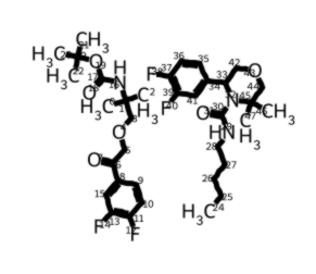 CC(C)(COCC(=O)c1ccc(F)c(F)c1)NC(=O)OC(C)(C)C.CCCCCNC(=O)N1C(c2ccc(F)c(F)c2)COCC1(C)C